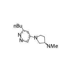 CCCCc1cc(N2CC[C@@H](NC)C2)cnn1